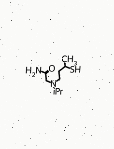 CC(S)CCN(CC(N)=O)C(C)C